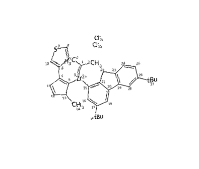 C[C](C)=[Zr+2]([C]1=C(c2ccsc2)C=CC1C)[c]1cc(C(C)(C)C)cc2c1Cc1ccc(C(C)(C)C)cc1-2.[Cl-].[Cl-]